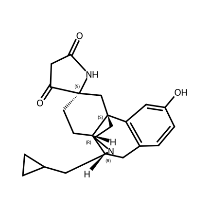 O=C1CC(=O)[C@@]2(CC[C@H]3[C@H]4Cc5ccc(O)cc5[C@@]3(CCN4CC3CC3)C2)N1